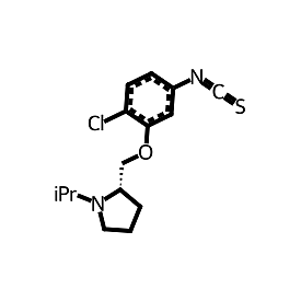 CC(C)N1CCC[C@H]1COc1cc(N=C=S)ccc1Cl